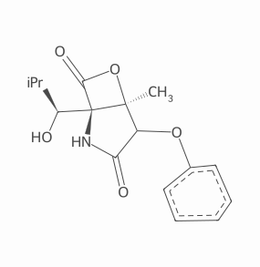 CC(C)[C@H](O)[C@@]12NC(=O)C(Oc3ccccc3)[C@]1(C)OC2=O